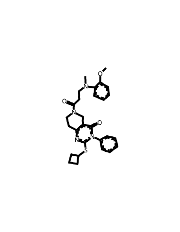 COc1ccccc1N(C)CCC(=O)N1CCc2nc(SC3CCC3)n(-c3ccccc3)c(=O)c2C1